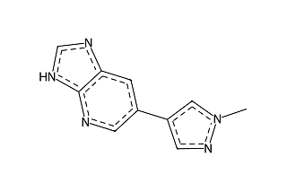 Cn1cc(-c2cnc3[nH]cnc3c2)cn1